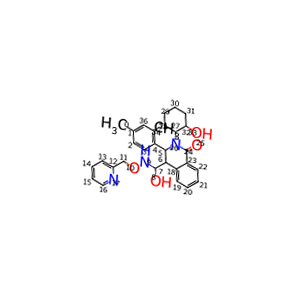 Cc1ccc(C2C(C(O)NOCc3ccccn3)c3ccccc3C(=O)N2C2CCCCC2O)c(C)c1